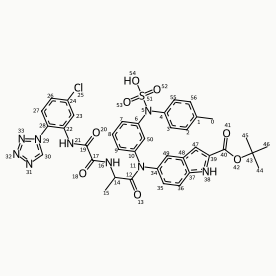 Cc1ccc(N(c2cccc(N(C(=O)C(C)NC(=O)C(=O)Nc3cc(Cl)ccc3-n3cnnn3)c3ccc4[nH]c(C(=O)OC(C)(C)C)cc4c3)c2)S(=O)(=O)O)cc1